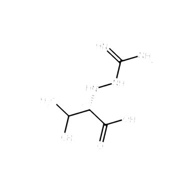 CC(C)[C@H](NNC(=N)N)C(=O)O